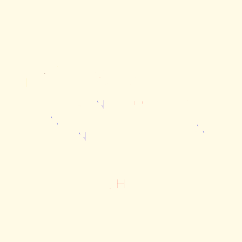 CN1CCC(c2ccc(C(=O)Nc3cc(C(F)(F)F)cnc3N3CCC(O)CC3)o2)CC1